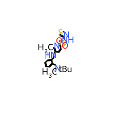 Cc1nc(S(=O)(=O)Nc2cscn2)ccc1NCc1c(F)cccc1CN(C)C(C)(C)C